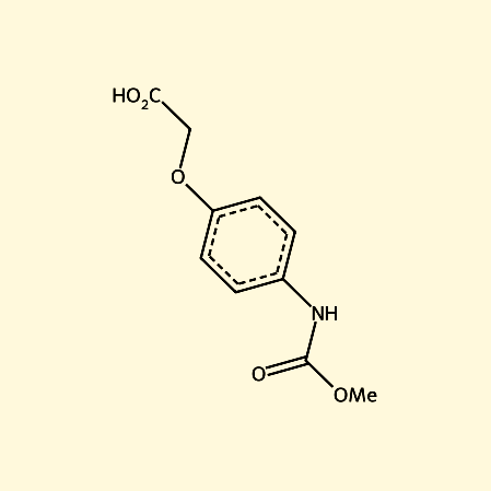 COC(=O)Nc1ccc(OCC(=O)O)cc1